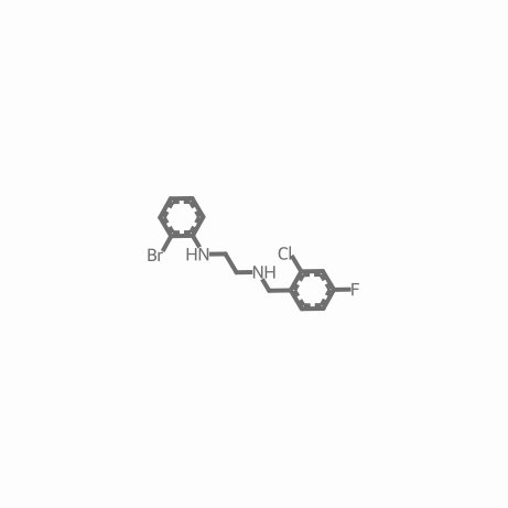 Fc1ccc(CNCCNc2ccccc2Br)c(Cl)c1